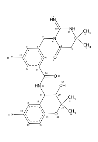 CC1(C)CC(=O)N(Cc2cc(F)cc(C(=O)NC3c4cc(F)ccc4OC(C)(C)C3O)c2)C(=N)N1